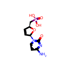 Nc1ccn([C@H]2C=C[C@@H](CP(=O)(O)O)O2)c(=O)n1